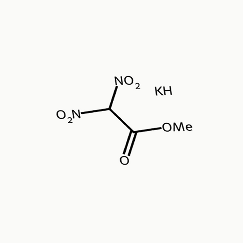 COC(=O)C([N+](=O)[O-])[N+](=O)[O-].[KH]